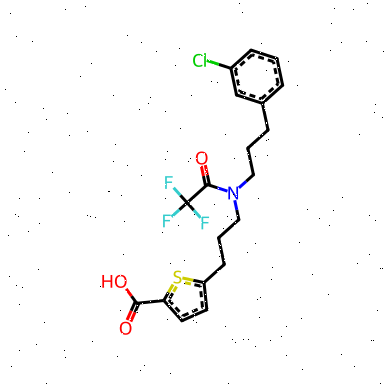 O=C(O)c1ccc(CCCN(CCCc2cccc(Cl)c2)C(=O)C(F)(F)F)s1